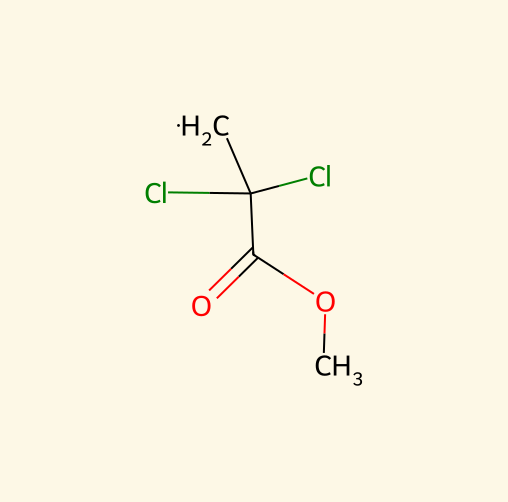 [CH2]C(Cl)(Cl)C(=O)OC